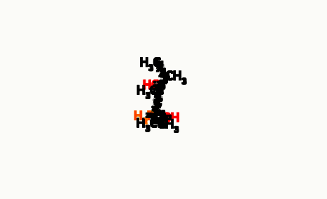 CCCCCC(C)CCCC(C)(O)CCC/C=C/CC1=CC(O)C(C)C(C)C1P